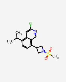 CC(C)c1ccc(C2CN(S(C)(=O)=O)C2)c2cnc(Cl)cc12